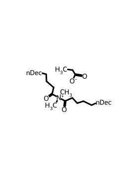 CCC(=O)[O-].CCCCCCCCCCCCCCC(=O)[N+](C)(C)C(=O)CCCCCCCCCCCCC